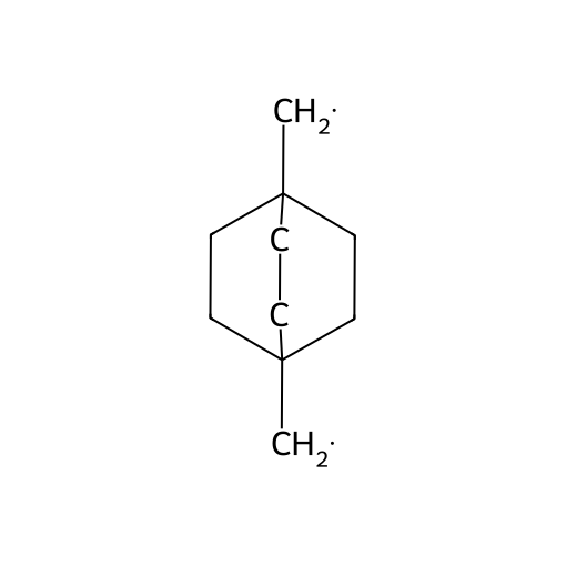 [CH2]C12CCC([CH2])(CC1)CC2